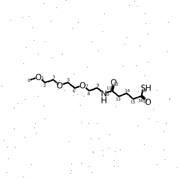 COCCOCCOCCNC(=O)CCCC(=O)S